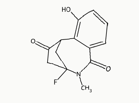 CN1C(=O)c2cccc(O)c2C2CC1(F)CC2=O